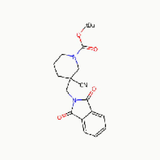 CC(C)(C)OC(=O)N1CCCC(C#N)(CN2C(=O)c3ccccc3C2=O)C1